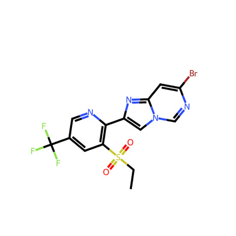 CCS(=O)(=O)c1cc(C(F)(F)F)cnc1-c1cn2cnc(Br)cc2n1